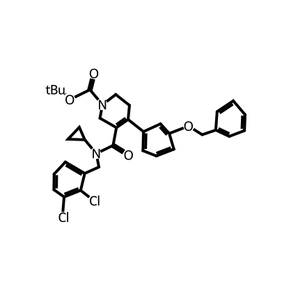 CC(C)(C)OC(=O)N1CCC(c2cccc(OCc3ccccc3)c2)=C(C(=O)N(Cc2cccc(Cl)c2Cl)C2CC2)C1